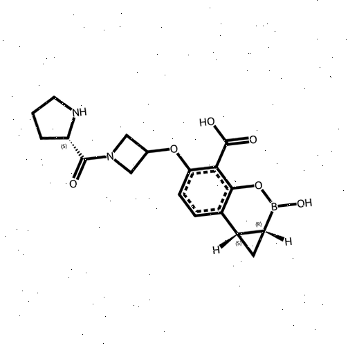 O=C(O)c1c(OC2CN(C(=O)[C@@H]3CCCN3)C2)ccc2c1OB(O)[C@@H]1C[C@H]21